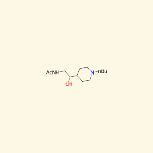 CCCCN1CCC(C(O)CNC(C)=O)CC1